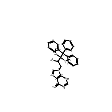 COC(OC)(C(O)Cn1cnc2c(=O)nc[nH]c21)C(c1ccccc1)(c1ccccc1)c1ccccc1